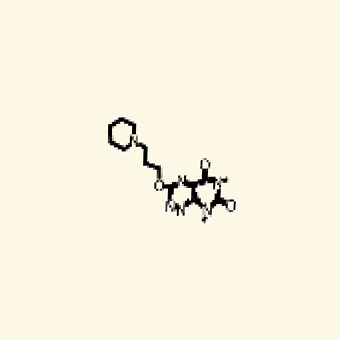 Cn1c(=O)c2nc(OCCCN3CCCCC3)nnc2n(C)c1=O